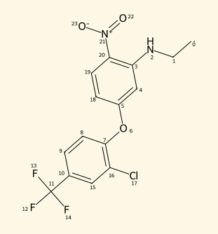 [CH2]CNc1cc(Oc2ccc(C(F)(F)F)cc2Cl)ccc1[N+](=O)[O-]